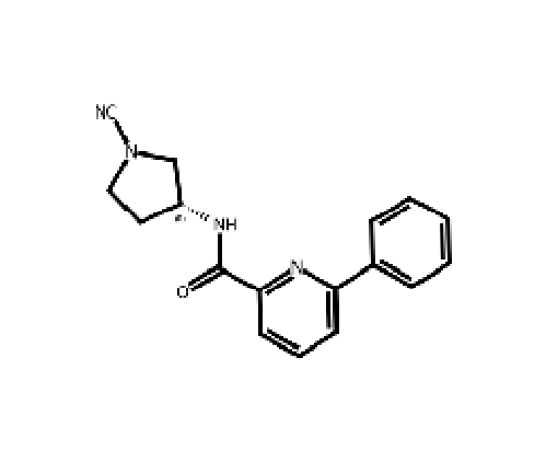 N#CN1CC[C@@H](NC(=O)c2cccc(-c3ccccc3)n2)C1